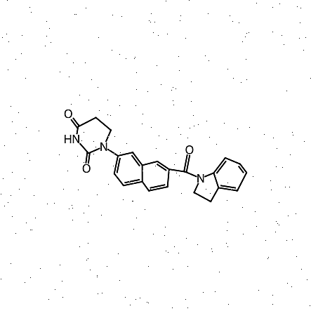 O=C1CCN(c2ccc3ccc(C(=O)N4CCc5ccccc54)cc3c2)C(=O)N1